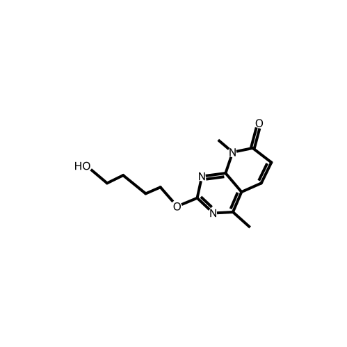 Cc1nc(OCCCCO)nc2c1ccc(=O)n2C